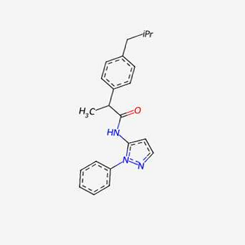 CC(C)Cc1ccc(C(C)C(=O)Nc2ccnn2-c2ccccc2)cc1